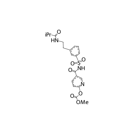 COC(=O)Oc1ccc(C(=O)NS(=O)(=O)c2cccc(CCNC(=O)C(C)C)c2)cn1